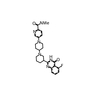 CNC(=O)c1ccc(N2CCC(N3CCCC(c4nc5cccc(F)c5c(=O)[nH]4)C3)CC2)cn1